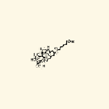 CCCCCCCCCCCCCCCC(=O)OC(CCCCCCCCCCCCCCC)CC(=O)N[C@@H](C)C(=O)N[C@H](C(=O)N[C@@H](CCC(=O)O)C(=O)O)[C@@H](C)O